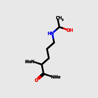 CNC(=O)C(CCCNC(C)O)NC